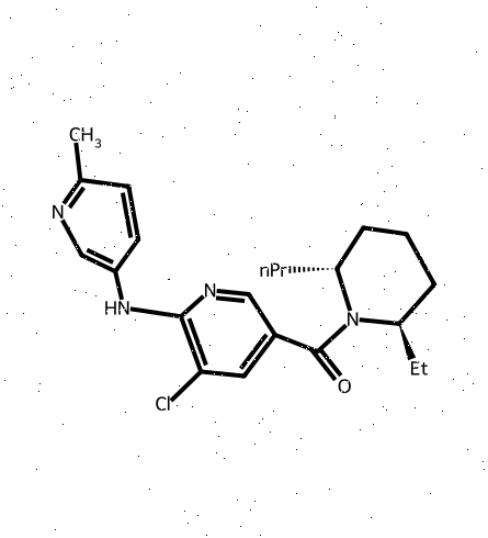 CCC[C@@H]1CCC[C@@H](CC)N1C(=O)c1cnc(Nc2ccc(C)nc2)c(Cl)c1